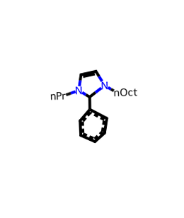 CCCCCCCCN1C=CN(CCC)C1c1ccccc1